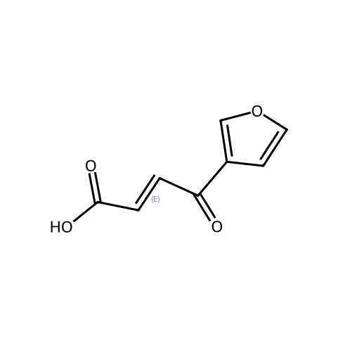 O=C(O)/C=C/C(=O)c1ccoc1